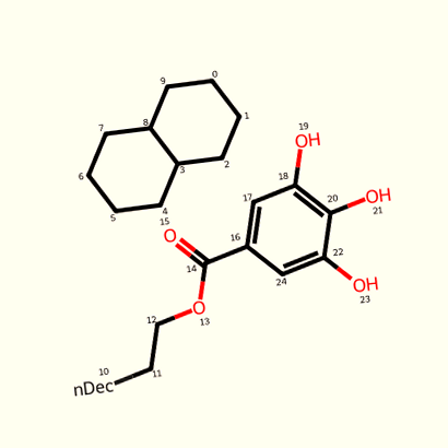 C1CCC2CCCCC2C1.CCCCCCCCCCCCOC(=O)c1cc(O)c(O)c(O)c1